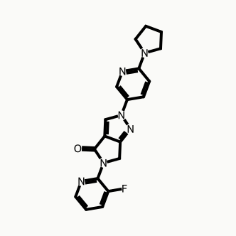 O=C1c2cn(-c3ccc(N4CCCC4)nc3)nc2CN1c1ncccc1F